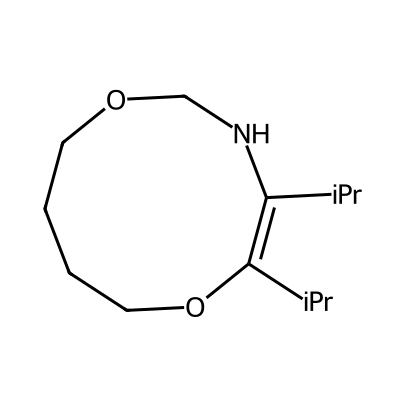 CC(C)/C1=C(\C(C)C)OCCCCOCN1